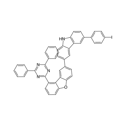 Ic1ccc(-c2ccc3[nH]c4ccc(-c5ccc6oc7cccc(-c8nc(-c9ccccc9)nc(-c9ccccc9)n8)c7c6c5)cc4c3c2)cc1